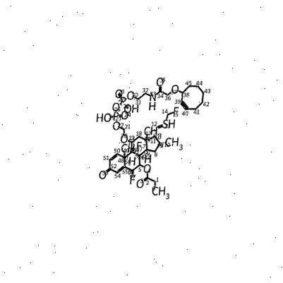 CCC(=O)OC1[C@@H]2[C@@H]3C[C@@H](C)[C@@H](C=[SH]CF)[C@@]3(C)C[C@H](OCOP(=O)(O)OP(=O)(O)OCCNC(=O)COC3C#CCCCCC3)[C@]2(F)[C@@]2(C)C=CC(=O)C=C2[C@@H]1F